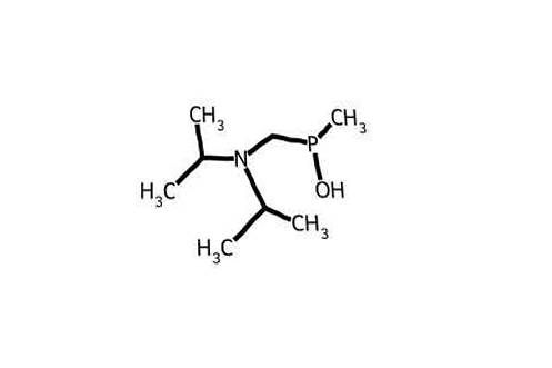 CC(C)N(CP(C)O)C(C)C